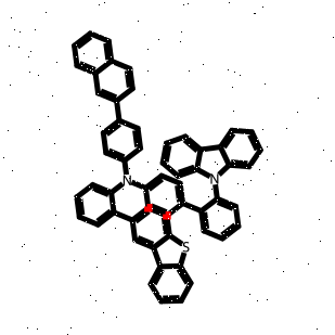 c1ccc(N(c2ccc(-c3ccc4ccccc4c3)cc2)c2ccc(-c3ccccc3-n3c4ccccc4c4ccccc43)cc2)c(-c2ccc3sc4ccccc4c3c2)c1